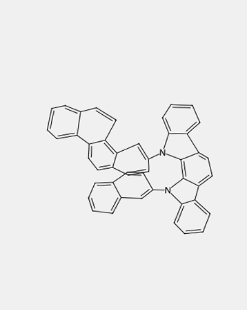 c1ccc2cc(-n3c4ccccc4c4ccc5c6ccccc6n(-c6ccc7ccc8c9ccccc9ccc8c7c6)c5c43)ccc2c1